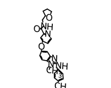 Cc1ccc(Nc2nc3cc(Oc4ccnc(C(=O)NCC5CCCO5)c4)ccc3n2C)cc1